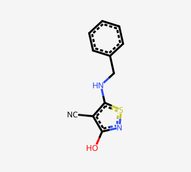 N#Cc1c(O)nsc1NCc1ccccc1